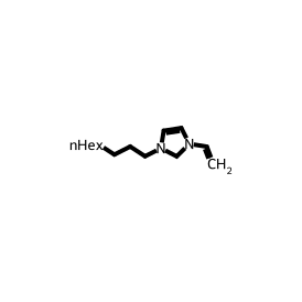 C=CN1C=CN(CCCCCCCCC)C1